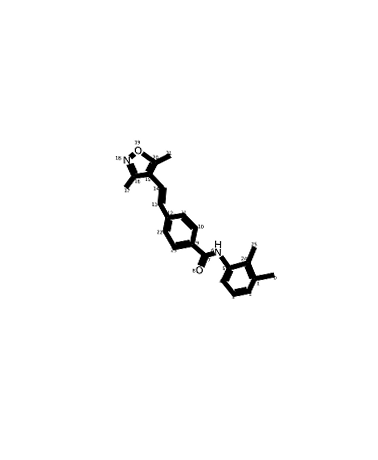 Cc1cccc(NC(=O)c2ccc(C=Cc3c(C)noc3C)cc2)c1C